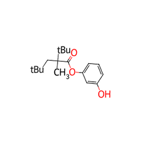 CC(C)(C)CC(C)(C(=O)Oc1cccc(O)c1)C(C)(C)C